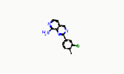 Cc1ccc(-c2ncc3ccnc(N)c3n2)cc1Br